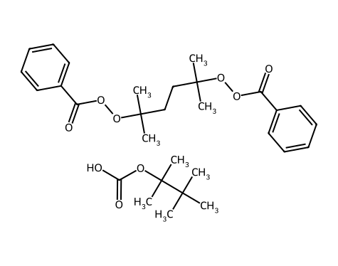 CC(C)(C)C(C)(C)OC(=O)O.CC(C)(CCC(C)(C)OOC(=O)c1ccccc1)OOC(=O)c1ccccc1